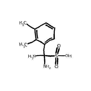 Cc1cccc(C(N)(N)S(=O)(=O)O)c1C